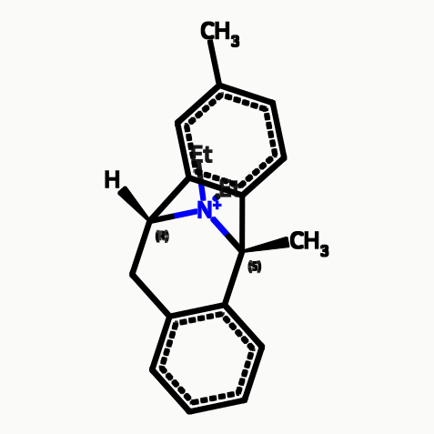 CC[N+]1(CC)[C@@H]2Cc3ccccc3[C@@]1(C)c1ccc(C)cc12